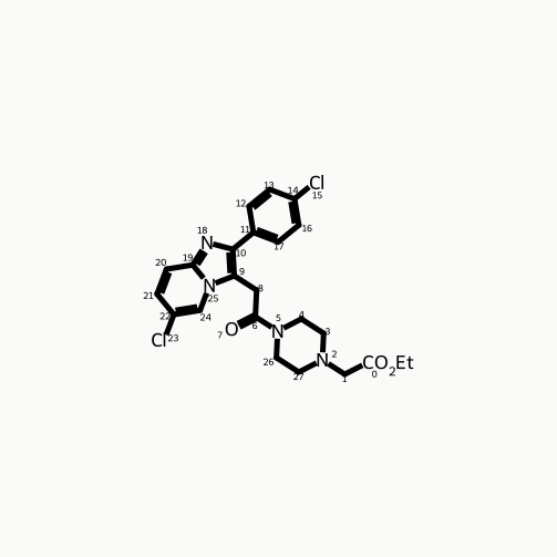 CCOC(=O)CN1CCN(C(=O)Cc2c(-c3ccc(Cl)cc3)nc3ccc(Cl)cn23)CC1